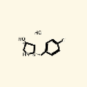 Cl.O[C@H]1CN[C@@H](Cc2ccc(Cl)cc2)C1